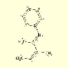 CC(=C/C(Cl)(Cl)Cl)/C(C)=N/c1ccccc1